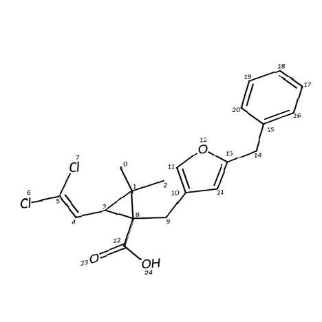 CC1(C)C(C=C(Cl)Cl)C1(Cc1coc(Cc2ccccc2)c1)C(=O)O